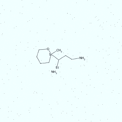 CCC(CCN)[Si]1(C)CCCCO1.N